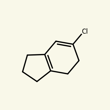 ClC1=CC2=C(CCC2)CC1